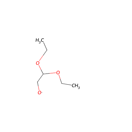 CCOC(C[O])OCC